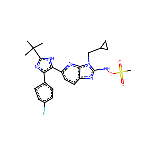 CC(C)(C)c1nc(-c2ccc(F)cc2)c(-c2ccc3nc(NOS(C)(=O)=O)n(CC4CC4)c3n2)[nH]1